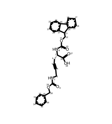 O=C(NCC#CC[C@H](NC(=O)OCC1c2ccccc2-c2ccccc21)C(=O)O)OCc1ccccc1